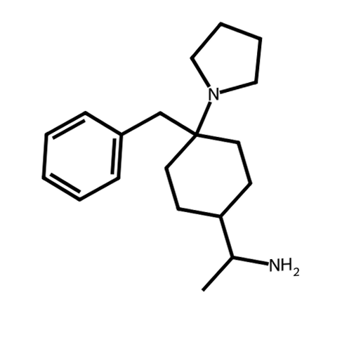 CC(N)C1CCC(Cc2ccccc2)(N2CCCC2)CC1